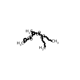 [CH2]c1cc(COC(=O)CCC(OCCC#CCCCC)OCCC#CCCCC)cc(COC(=O)OCC2CCCN(CC)C2)c1